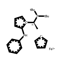 C[C@@H]([c-]1cccc1Pc1ccccc1)P(C(C)(C)C)C(C)(C)C.[Fe+2].c1cc[cH-]c1